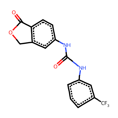 O=C(Nc1cccc(C(F)(F)F)c1)Nc1ccc2c(c1)COC2=O